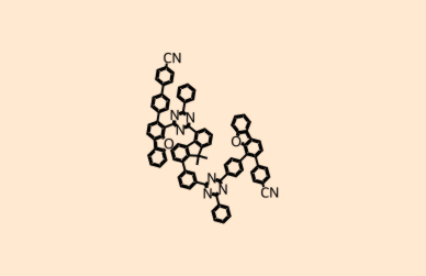 CC1(C)c2cccc(-c3nc(-c4ccccc4)nc(-c4c(-c5ccc(-c6ccc(C#N)cc6)cc5)ccc5c4oc4ccccc45)n3)c2-c2cccc(-c3cccc(-c4nc(-c5ccccc5)nc(-c5ccc(-c6c(-c7ccc(C#N)cc7)ccc7c6oc6ccccc67)cc5)n4)c3)c21